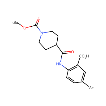 CC(=O)c1ccc(NC(=O)C2CCN(C(=O)OC(C)(C)C)CC2)c(C(=O)O)c1